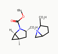 CC(C)(C)OC(=O)N1[C@H](C(=O)O)C[C@@]2(C)C[C@@H]12.O=C(O)C1CCC2CN21